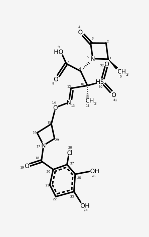 C[C@@H]1CC(=O)N1[C@@H](C(=O)O)[C@](C)(/C=N/OC1CN(C(=O)c2ccc(O)c(O)c2Cl)C1)[SH](=O)=O